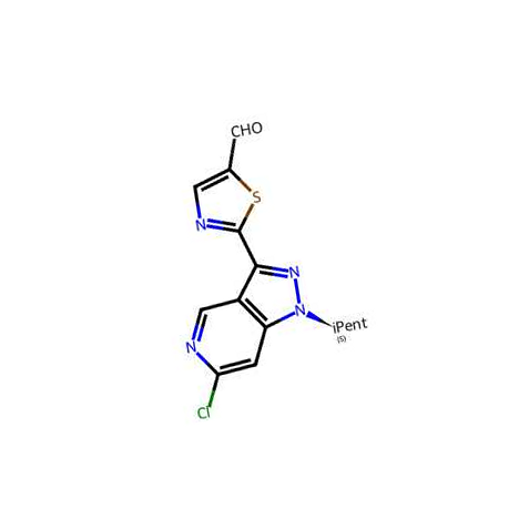 CCC[C@H](C)n1nc(-c2ncc(C=O)s2)c2cnc(Cl)cc21